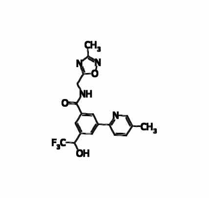 Cc1ccc(-c2cc(C(=O)NCc3nc(C)no3)cc(C(O)C(F)(F)F)c2)nc1